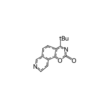 CC(C)(C)c1nc(=O)oc2c1ccc1cnccc12